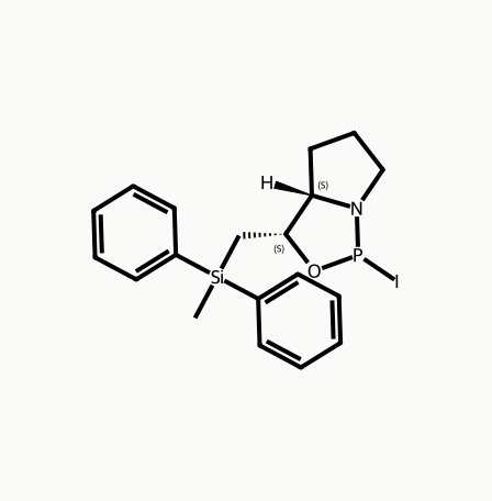 C[Si](C[C@H]1OP(I)N2CCC[C@@H]12)(c1ccccc1)c1ccccc1